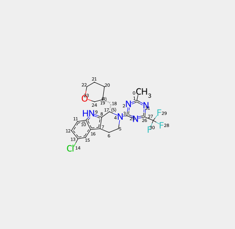 Cc1nc(N2CCc3c([nH]c4ccc(Cl)cc34)[C@@H]2C[C@H]2CCCOC2)nc(C(F)(F)F)n1